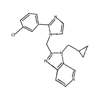 Clc1cccc(-c2nccn2Cc2nc3ccncc3n2CC2CC2)c1